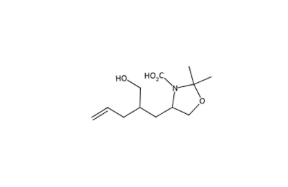 C=CCC(CO)CC1COC(C)(C)N1C(=O)O